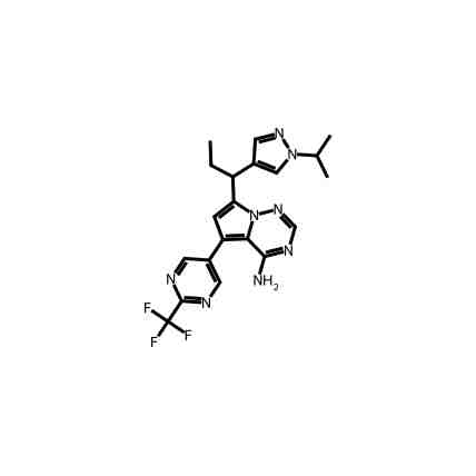 CCC(c1cnn(C(C)C)c1)c1cc(-c2cnc(C(F)(F)F)nc2)c2c(N)ncnn12